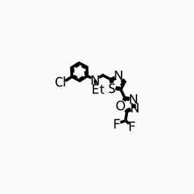 CCN(Cc1ncc(-c2nnc(C(F)F)o2)s1)c1cccc(Cl)c1